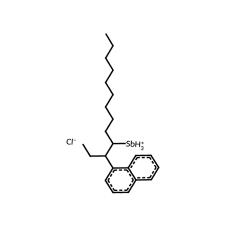 CCCCCCCCC[CH]([SbH3+])C(CC)c1cccc2ccccc12.[Cl-]